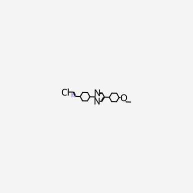 CCOC1CCC(c2cnc(C3CCC(/C=C/Cl)CC3)nc2)CC1